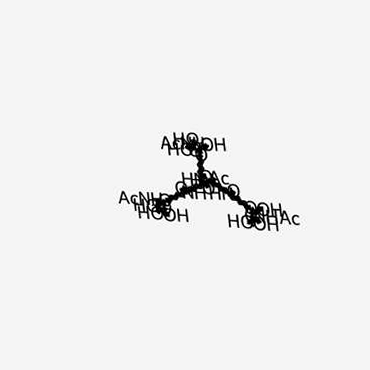 CC(=O)NC1C(OCCCCCC(=O)NCCCCC(NC(=O)CCCCCOC(OC(CO)[C@@H](C)O)[C@H](CO)NC(C)=O)C(=O)NC(CCCCNC(=O)CCCCCOC(OC(CO)[C@@H](C)O)[C@H](CO)NC(C)=O)C(C)=O)OC(CO)C(O)[C@@H]1O